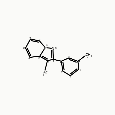 CC(=O)c1c(-c2cccc(C)c2)nn2ccccc12